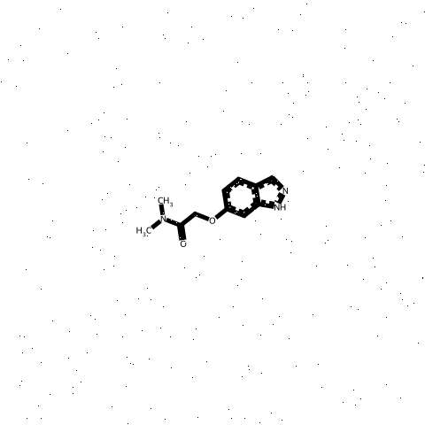 CN(C)C(=O)COc1ccc2cn[nH]c2c1